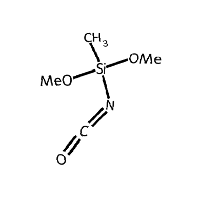 CO[Si](C)(N=C=O)OC